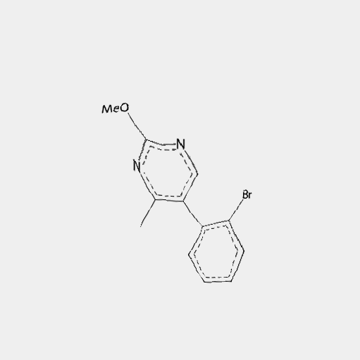 COc1ncc(-c2ccccc2Br)c(C)n1